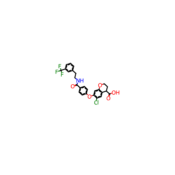 O=C(NCCc1cccc(C(F)(F)F)c1)c1ccc(Oc2cc3c(cc2Cl)C(C(=O)O)CCO3)cc1